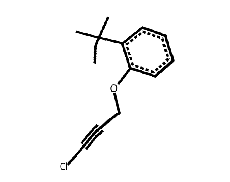 CC(C)(C)c1ccccc1OCC#CCl